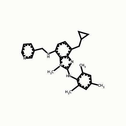 Cc1cc(C)c(Nc2nc3c(CC4CC4)ccc(NCc4cccnc4)c3n2C)c(C)c1